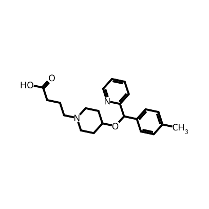 Cc1ccc(C(OC2CCN(CCCC(=O)O)CC2)c2ccccn2)cc1